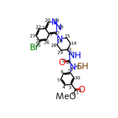 COC(=O)c1cccc(N(S)C(=O)NC2CCN(c3nncc4ccc(Br)cc34)CC2)c1